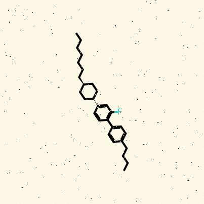 CCCCCCC[C@H]1CC[C@H](c2ccc(-c3ccc(CCCC)cc3)c(F)c2)CC1